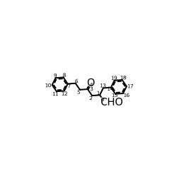 O=CC(CC(=O)CCc1ccccc1)Cc1ccccc1